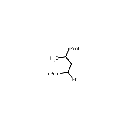 CCCCCC(C)CC(CC)CCCCC